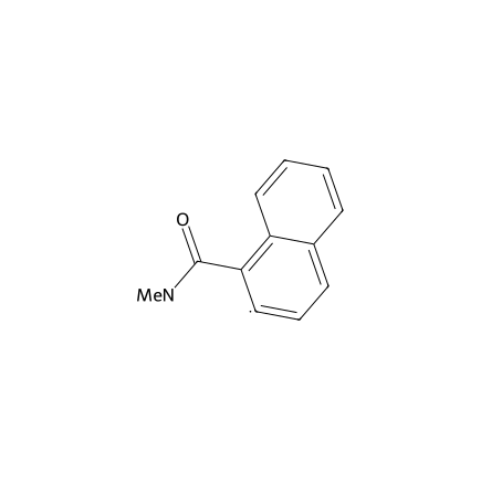 CNC(=O)c1[c]ccc2ccccc12